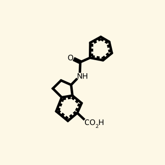 O=C(O)c1ccc2c(c1)C(NC(=O)c1ccccc1)CC2